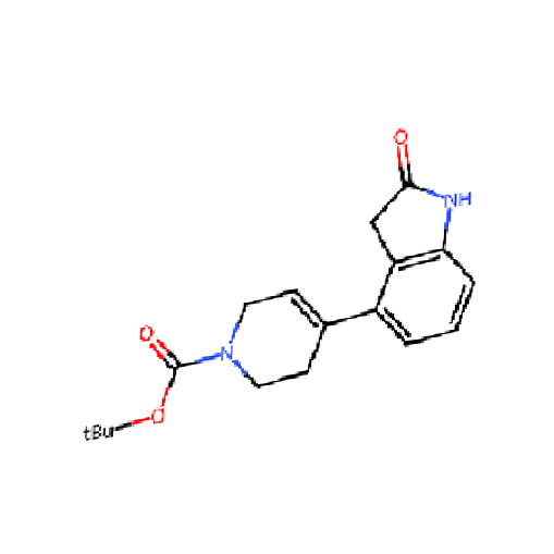 CC(C)(C)OC(=O)N1CC=C(c2cccc3c2CC(=O)N3)CC1